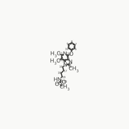 Cc1nc(Oc2ccccc2)c2nc(C)n(CCCCNS(C)(=O)=O)c2c1C